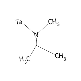 CC(C)[N](C)[Ta]